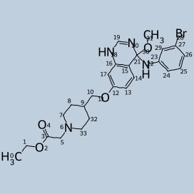 CCOC(=O)CN1CCC(COc2ccc3c(c2)NC=NC3(Nc2cccc(Br)c2)OC)CC1